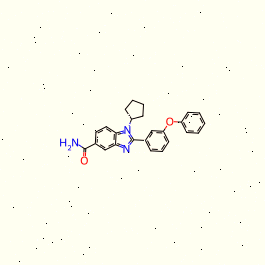 NC(=O)c1ccc2c(c1)nc(-c1cccc(Oc3ccccc3)c1)n2C1CCCC1